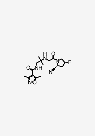 Cc1noc(C)c1C(=O)NCC(C)(C)NCC(=O)N1C[C@@H](F)C[C@H]1C#N